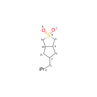 CC(C)CC1CC2CS(=O)(=O)CC2C1